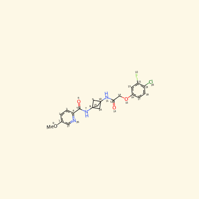 COc1ccc(C(=O)NC23CC(NC(=O)COc4ccc(Cl)c(F)c4)(C2)C3)nc1